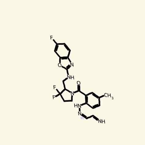 Cc1ccc(N/N=C\C=N)c(C(=O)N2CCC(F)(F)C2CNc2nc3ccc(F)cc3o2)c1